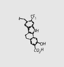 O=C(O)c1cc2c(cc1O)-c1[nH]c3cc(C(F)(F)F)c(CI)cc3c1CC2